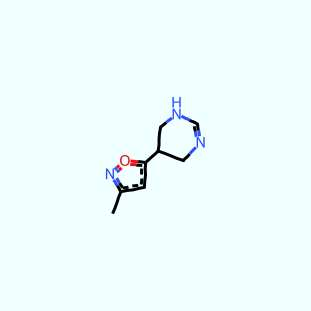 Cc1cc(C2CN=CNC2)on1